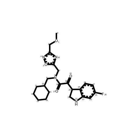 COCc1noc(CN(CC2CCCCC2)C(=O)C(=O)C2CNc3cc(F)ccc32)n1